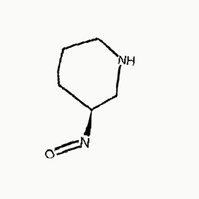 O=N[C@H]1CCCNC1